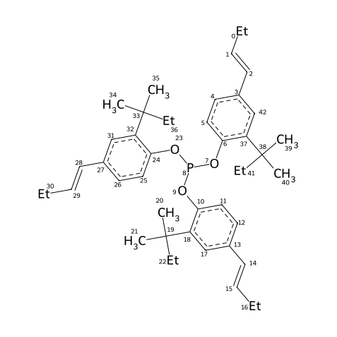 CCC=Cc1ccc(OP(Oc2ccc(C=CCC)cc2C(C)(C)CC)Oc2ccc(C=CCC)cc2C(C)(C)CC)c(C(C)(C)CC)c1